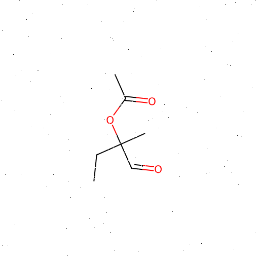 CCC(C)(C=O)OC(C)=O